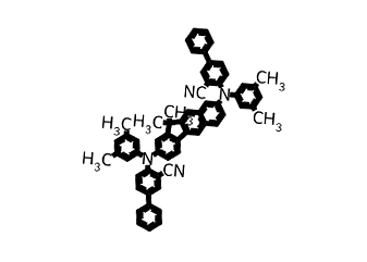 Cc1cc(C)cc(N(c2ccc3c(c2)C(C)(C)c2cc4cc(N(c5cc(C)cc(C)c5)c5ccc(-c6ccccc6)cc5C#N)ccc4cc2-3)c2ccc(-c3ccccc3)cc2C#N)c1